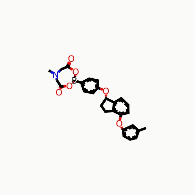 Cc1cccc(Oc2cccc3c2CCC3Oc2ccc(B3OC(=O)CN(C)CC(=O)O3)cc2)c1